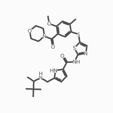 COc1cc(C)c(Sc2cnc(NC(=O)c3ccc(CNC(C)C(C)(C)C)[nH]3)s2)cc1C(=O)N1CCOCC1